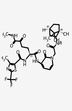 CNC(=O)C(=O)CC[C@H](NC(=O)c1sc(C(F)(F)F)nc1C)C(=O)Nc1cccn(CC(=O)N[C@H]2C[C@H]3CC[C@]2(C)C3(C)C)c1=O